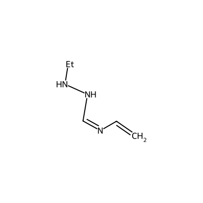 C=C/N=C\NNCC